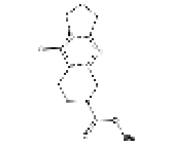 CC(C)(C)OC(=O)N1CCc2c(nc3n(c2=O)CCC3)C1